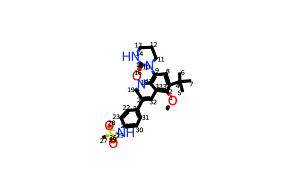 COc1c(C(C)(C)C)cc(N2CCCNC2=O)c2ncc(-c3ccc(NS(C)(=O)=O)cc3)cc12